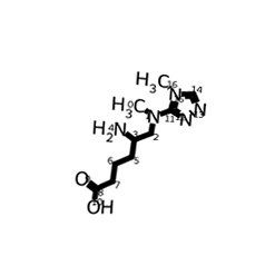 CN(CC(N)CCCC(=O)O)c1nncn1C